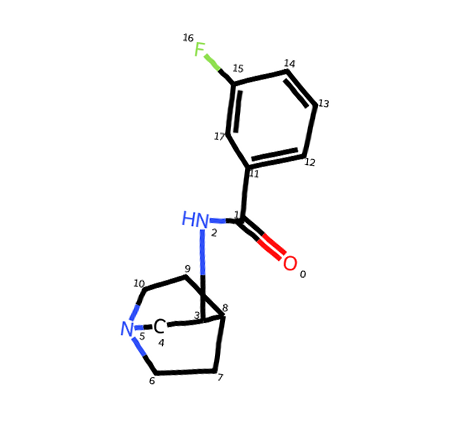 O=C(NC1CN2CCC1CC2)c1cccc(F)c1